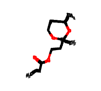 C=CC(=O)OCC[Si]1(C)OCCC(C)O1